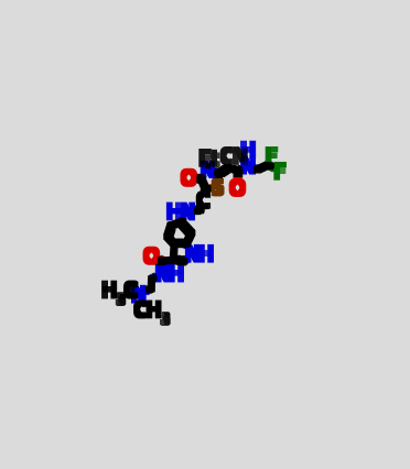 CCn1c(=O)c(=C=CNc2ccc3c(C(=O)NCCN(C)C)c[nH]c3c2)s/c1=C(/C#N)C(=O)NCC(F)F